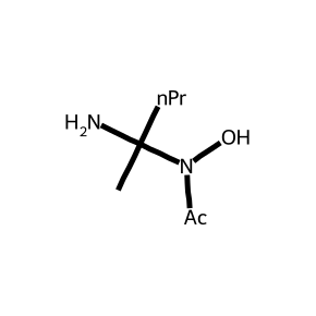 CCCC(C)(N)N(O)C(C)=O